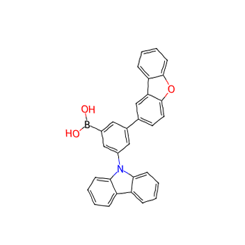 OB(O)c1cc(-c2ccc3oc4ccccc4c3c2)cc(-n2c3ccccc3c3ccccc32)c1